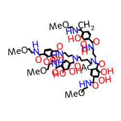 C=C(NCCOC)c1ccc(C(=O)NCCCN(C(=O)c2ccc(C(=O)NCCOC)c(O)c2O)C(CCCN(CCCNC(=O)c2ccc(C(=O)NCCOC)c(O)c2O)C(=O)c2ccc(C(=O)NCCOC)c(O)c2O)C(C)=O)c(O)c1O